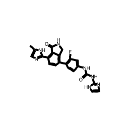 Cc1cnc(-c2ccc(-c3ccc(NC(=O)Nc4ncc[nH]4)cc3F)c3c2C(=O)NC3)[nH]1